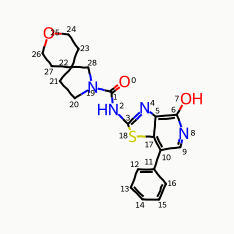 O=C(Nc1nc2c(O)ncc(-c3ccccc3)c2s1)N1CCC2(CCOCC2)C1